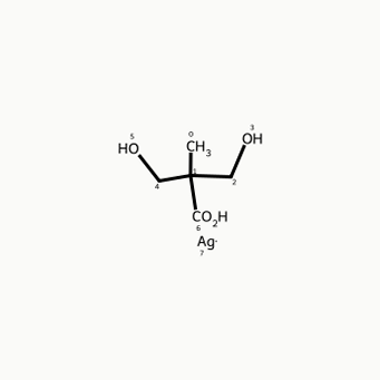 CC(CO)(CO)C(=O)O.[Ag]